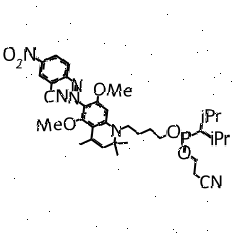 COc1cc2c(c(OC)c1/N=N/c1ccc([N+](=O)[O-])cc1C#N)C(C)=CC(C)(C)N2CCCCOP(OCCC#N)C(C(C)C)C(C)C